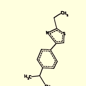 CCc1nc(-c2ccc(C(C)C)cc2)cs1